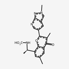 Cc1cc([C@@H](C)NC(=O)O)c2oc(-c3cnc4nn(C)cc4c3)c(C)c(=O)c2c1